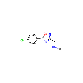 CC(C)NCc1noc(-c2ccc(Cl)cc2)n1